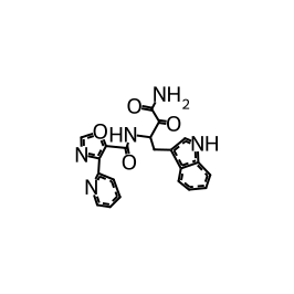 NC(=O)C(=O)C(Cc1c[nH]c2ccccc12)NC(=O)c1ocnc1-c1ccccn1